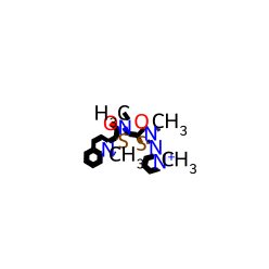 CCN1C(=O)/C(=c2/s/c(=C3/C=Cc4ccccc4N3C)c(=O)n2CC)S/C1=N\c1cccc[n+]1C